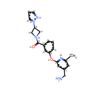 Cc1cc(CN)cc(Oc2cccc(C(=O)N3CC(n4cccn4)C3)c2)n1